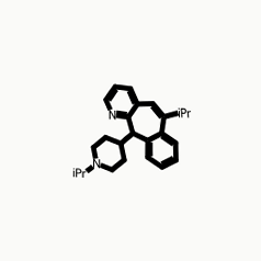 CC(C)C1=Cc2cccnc2C(C2CCN(C(C)C)CC2)c2ccccc21